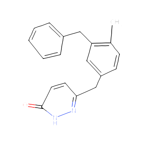 Cc1ccc(Cc2ccc(=O)[nH]n2)cc1Cc1ccccc1